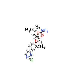 Cc1cc(-c2ccnc(Cl)n2)ccc1OC[C@](C)(CC(C)C)OC(N)=O